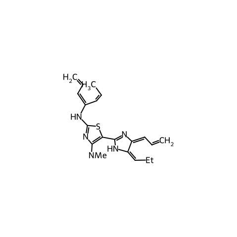 C=C/C=C(\C=C/C)Nc1nc(NC)c(-c2nc(=C/C=C)/c(=C\CC)[nH]2)s1